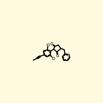 CC#Cc1cc(Cl)c(C2C(=O)CC(Cc3ccccn3)C2=O)c(Cl)c1